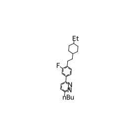 CCCCc1ccc(-c2ccc(CCC3CCC(CC)CC3)c(F)c2)nn1